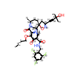 CCCCOc1c2n(cc(C(=O)NCc3c(F)cc(F)cc3F)c1=O)[C@@H]1CN(C2=O)[C@@H](C)CC[C@]12CC(C#CC(C)(C)O)=NO2